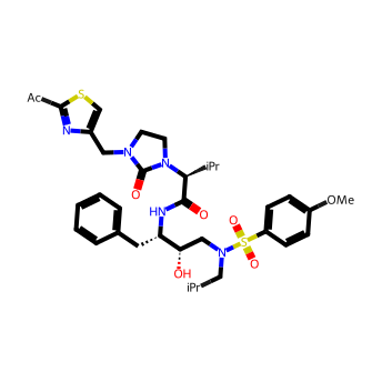 COc1ccc(S(=O)(=O)N(CC(C)C)C[C@H](O)[C@H](Cc2ccccc2)NC(=O)[C@H](C(C)C)N2CCN(Cc3csc(C(C)=O)n3)C2=O)cc1